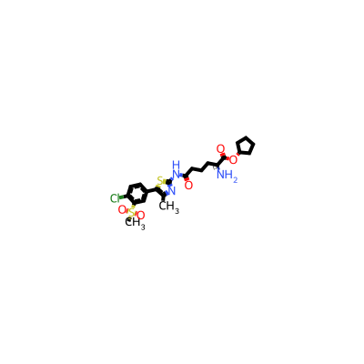 Cc1nc(NC(=O)CCC[C@H](N)C(=O)OC2CCCC2)sc1-c1ccc(Cl)c(S(C)(=O)=O)c1